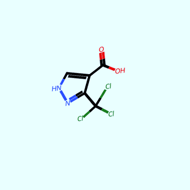 O=C(O)c1c[nH]nc1C(Cl)(Cl)Cl